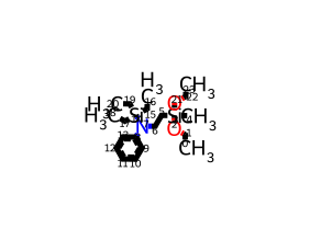 CCO[Si](C)(CCN(c1ccccc1)[Si](CC)(CC)CC)OCC